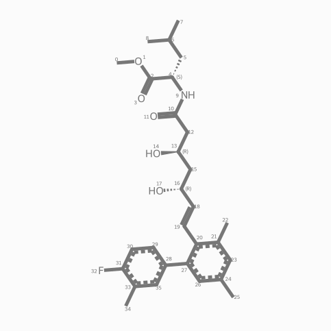 COC(=O)[C@H](CC(C)C)NC(=O)C[C@H](O)C[C@@H](O)C=Cc1c(C)cc(C)cc1-c1ccc(F)c(C)c1